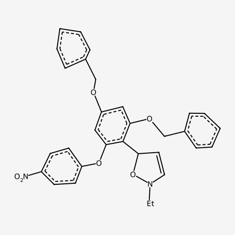 CCN1C=CC(c2c(OCc3ccccc3)cc(OCc3ccccc3)cc2Oc2ccc([N+](=O)[O-])cc2)O1